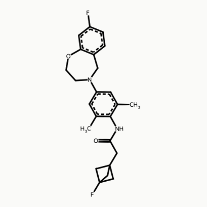 Cc1cc(N2CCOc3cc(F)ccc3C2)cc(C)c1NC(=O)CC12CC(F)(C1)C2